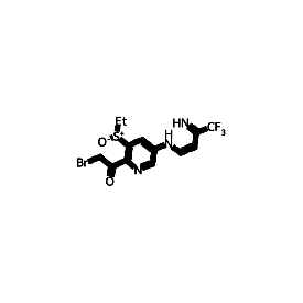 CC[S+]([O-])c1cc(N/C=C\C(=N)C(F)(F)F)cnc1C(=O)CBr